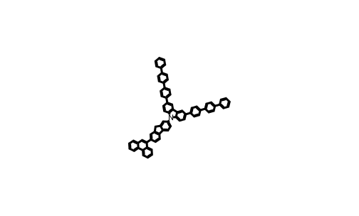 c1ccc(-c2ccc(-c3ccc(-c4ccc5c(c4)c4cc(-c6ccc(-c7ccc(-c8ccccc8)cc7)cc6)ccc4n5-c4ccc5c(c4)Cc4cc(-c6cc7ccccc7c7ccccc67)ccc4-5)cc3)cc2)cc1